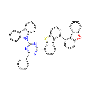 c1ccc(-c2nc(-c3cccc4c3sc3cccc(-c5cccc6oc7ccccc7c56)c34)nc(-n3c4ccccc4c4ccccc43)n2)cc1